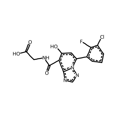 O=C(O)CNC(=O)c1c(O)cc(-c2cccc(Cl)c2F)n2ncnc12